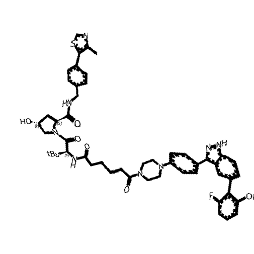 COc1cccc(F)c1-c1ccc2[nH]nc(-c3ccc(N4CCN(C(=O)CCCCC(=O)N[C@H](C(=O)N5C[C@H](O)C[C@H]5C(=O)NCc5ccc(-c6scnc6C)cc5)C(C)(C)C)CC4)cc3)c2c1